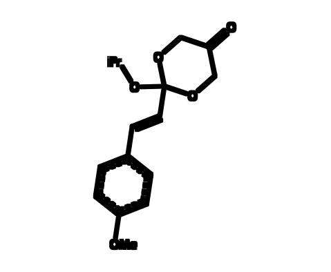 COc1ccc(C=CC2(OC(C)C)OCC(=O)CO2)cc1